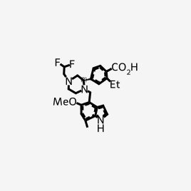 CCc1cc([C@@H]2CN(CC(F)F)CCN2Cc2c(OC)cc(C)c3[nH]ccc23)ccc1C(=O)O